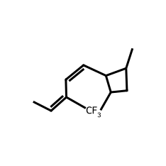 C/C=C(\C=C/C1C(C)CC1C)C(F)(F)F